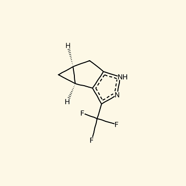 FC(F)(F)c1n[nH]c2c1[C@H]1C[C@H]1C2